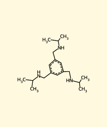 CC(C)NCc1cc(CNC(C)C)cc(CNC(C)C)c1